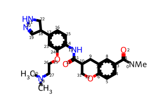 CNC(=O)c1ccc2c(c1)CC(C(=O)Nc1ccc(C3C=NNC3)cc1OCCN(C)C)CO2